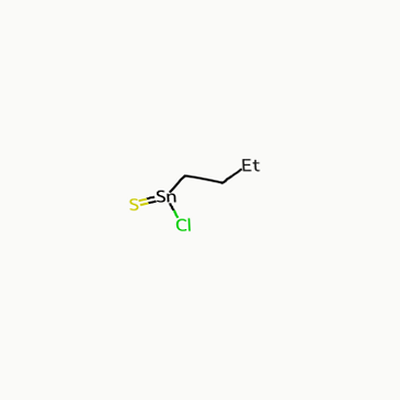 CCC[CH2][Sn](=[S])[Cl]